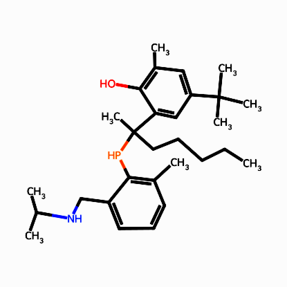 CCCCCC(C)(Pc1c(C)cccc1CNC(C)C)c1cc(C(C)(C)C)cc(C)c1O